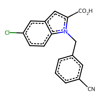 N#Cc1cccc(Cn2c(C(=O)O)cc3cc(Cl)ccc32)c1